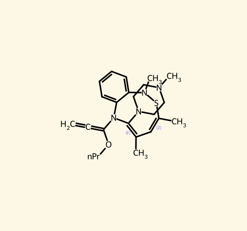 C=C=C(OCCC)N1/C(N2CCN(C)CC2)=C(C)/C=C(/C)SN(C)c2ccccc21